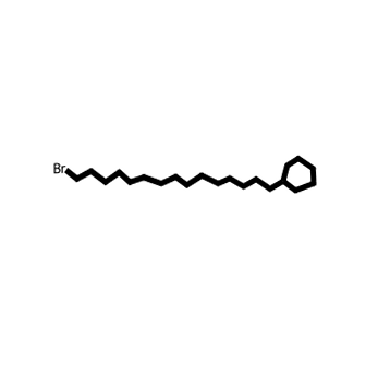 BrCCCCCCCCCCCCCCCC1CCCCC1